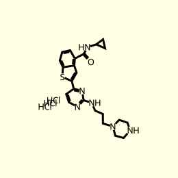 Cl.Cl.Cl.O=C(NC1CC1)c1cccc2sc(-c3ccnc(NCCCN4CCNCC4)n3)cc12